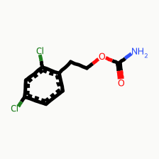 NC(=O)OCCc1ccc(Cl)cc1Cl